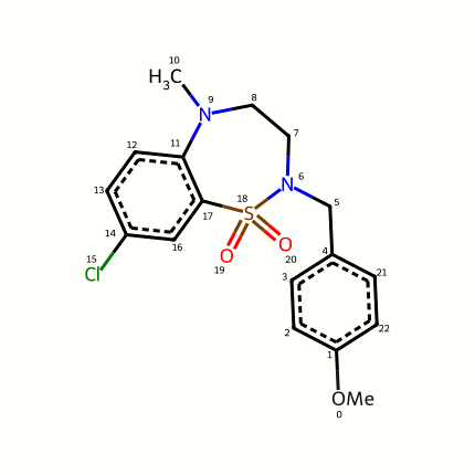 COc1ccc(CN2CCN(C)c3ccc(Cl)cc3S2(=O)=O)cc1